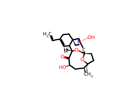 C=CC1=C[C@@H]2[C@@H]3O[C@]4(CC[C@H](O4)[C@@H](C)C[C@@H](O)C3=O)C[C@H](O)C3=NCC[C@@]32CC1